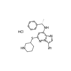 CC(C)c1cnc2c(N[C@@H](C)c3ccccc3)cc(SC3CCCNC3)nn12.Cl